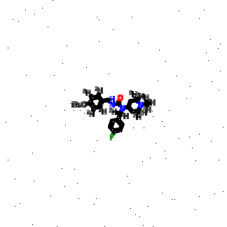 [2H]c1c([2H])c(OCC(C)C)c([2H])c([2H])c1CNC(=O)N(C1CC([2H])([2H])N(C([2H])([2H])[2H])C([2H])([2H])C1)C([2H])([2H])c1ccc(F)cc1